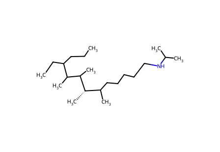 CCCC(CC)C(C)C(C)[C@@H](C)C(C)CCCCCNC(C)C